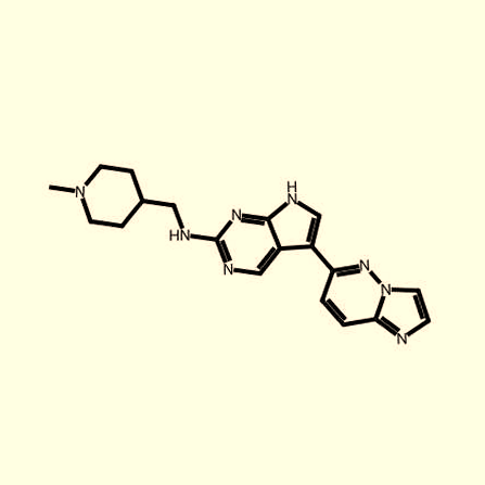 CN1CCC(CNc2ncc3c(-c4ccc5nccn5n4)c[nH]c3n2)CC1